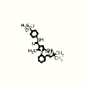 Cc1cc(C(=O)Nc2ccc(S(C)(=O)=O)cc2)c(C)n1-c1ccccc1/C=C/C(C)(C)C